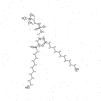 C[N+](C)(C)CCOP(=O)([O-])OC[C@@H](COC(=O)CCCCCCCCCCCO)OC(=O)CCCCCCCCCCCO